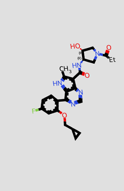 CCC(=O)N1C[C@@H](O)[C@H](NC(=O)c2c(C)[nH]c3c(-c4ccc(F)cc4OCC4CC4)ncnc23)C1